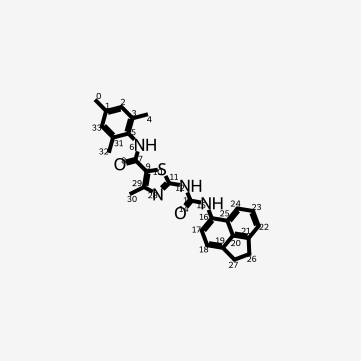 Cc1cc(C)c(NC(=O)c2sc(NC(=O)Nc3ccc4c5c(cccc35)CC4)nc2C)c(C)c1